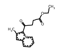 CCOC(=O)CCC(=O)c1c(C)cc2ccccn12